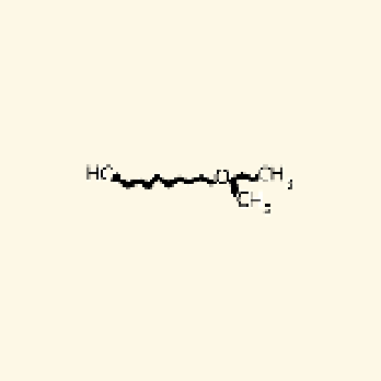 C#CCCCCCCCCCOC(=CC)CCC